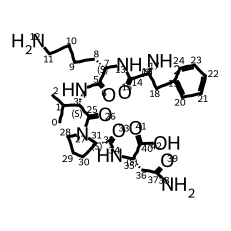 CC(C)[C@H](NC(=O)[C@H](CCCCN)NC(=O)[C@@H](N)Cc1ccccc1)C(=O)N1CCC[C@H]1C(=O)N[C@@H](CC(N)=O)C(=O)O